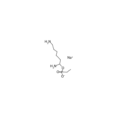 CCP(=O)([O-])OC(N)CCCCCN.[Na+]